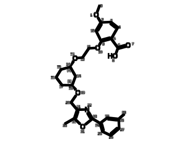 COc1ccc(C(=O)O)c(OCCO[C@@H]2CCC[C@H](OCc3nc(-c4cccc(C)c4)oc3C)C2)c1